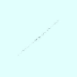 CCCCCCCCCCCCCCCCC=COC=CCCCCCCCCCCCCCCCC